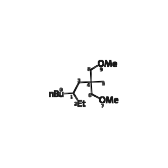 CCCCC(CC)CC(C)(COC)COC